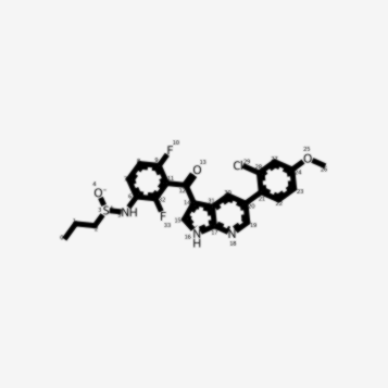 CCC[S+]([O-])Nc1ccc(F)c(C(=O)c2c[nH]c3ncc(-c4ccc(OC)cc4Cl)cc23)c1F